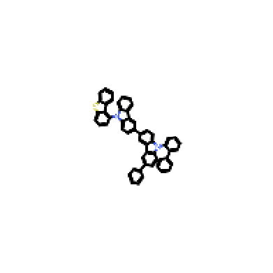 c1ccc(-c2ccc3c(c2)c2cc(-c4ccc5c(c4)c4ccccc4n5-c4cccc5sc6ccccc6c45)ccc2n3-c2ccccc2-c2ccccc2)cc1